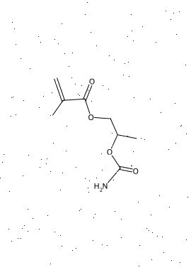 C=C(C)C(=O)OCC(C)OC(N)=O